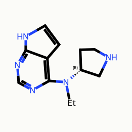 CCN(c1ncnc2[nH]ccc12)[C@@H]1CCNC1